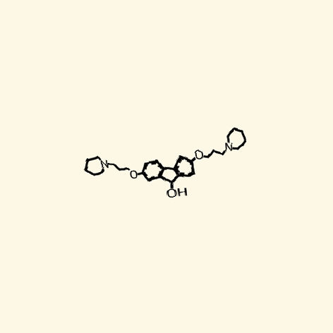 OC1c2ccc(OCCCN3CCCCC3)cc2-c2ccc(OCCCN3CCCCC3)cc21